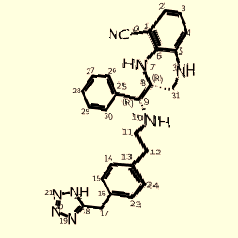 N#Cc1cccc2c1N[C@@H]([C@H](NCCc1ccc(Cc3nnn[nH]3)cc1)c1ccccc1)CN2